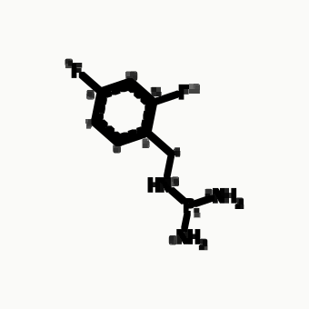 NP(N)NCc1ccc(F)cc1F